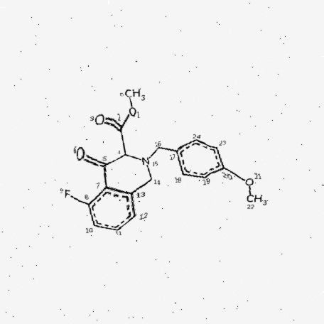 COC(=O)C1C(=O)c2c(F)cccc2CN1Cc1ccc(OC)cc1